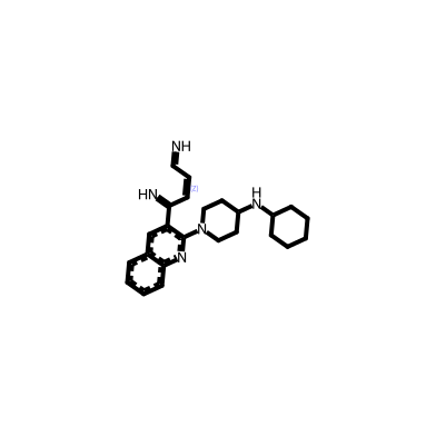 N=C/C=C\C(=N)c1cc2ccccc2nc1N1CCC(NC2CCCCC2)CC1